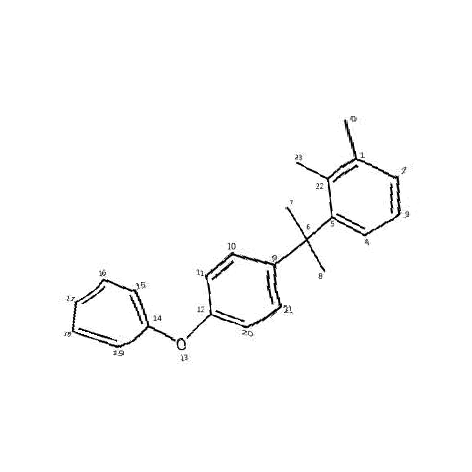 Cc1cccc(C(C)(C)c2ccc(Oc3ccccc3)cc2)c1C